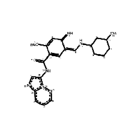 COC1=CC(=N)/C(=C\NC2CCCC(O)C2)C=C1C(=O)Nc1cnc2cccnn12